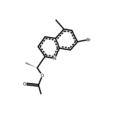 CC(=O)O[C@H](C)c1ccc2c(C)cc(Br)cc2n1